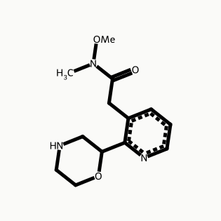 CON(C)C(=O)Cc1cccnc1C1CNCCO1